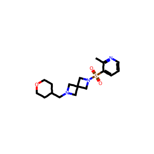 Cc1ncccc1S(=O)(=O)N1CC2(CN(CC3CCOCC3)C2)C1